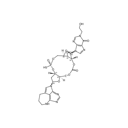 O=C1OC[C@H]2O[C@@H](n3cc4c5c(ncnc53)NCCC4)C[C@@H]2OP(=O)(S)OC[C@H]2O[C@@H](n3cnc4c(=O)n(CCO)cnc43)[C@H](O1)[C@@H]2O